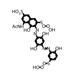 CC(=O)Nc1cc(S(=O)(=O)O)cc2cc(SOOO)c(N=Nc3cc(O)c(N=Nc4cc(SOOO)ccc4O)cc3O)c(O)c12